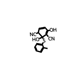 Cc1ccccc1SC1(O)C(C#N)=C(O)C=CC1C#N